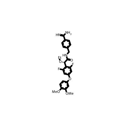 CCO[C@H](C(=O)NCc1ccc(C(=N)N)cc1)c1c(F)cc(Oc2ccc(OC)c(OC)c2)cc1F